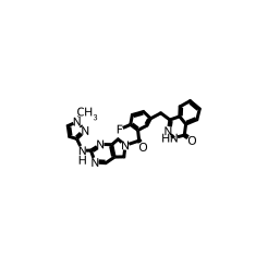 Cn1ccc(Nc2ncc3c(n2)CN(C(=O)c2cc(Cc4n[nH]c(=O)c5ccccc45)ccc2F)C3)n1